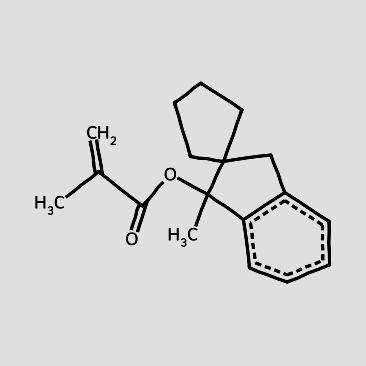 C=C(C)C(=O)OC1(C)c2ccccc2CC12CCCC2